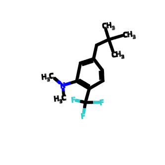 CN(C)c1cc(CC(C)(C)C)ccc1C(F)(F)F